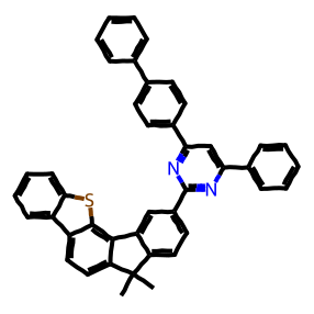 CC1(C)c2ccc(-c3nc(-c4ccccc4)cc(-c4ccc(-c5ccccc5)cc4)n3)cc2-c2c1ccc1c2sc2ccccc21